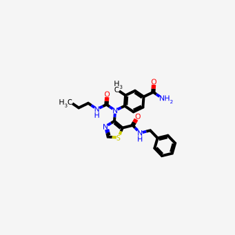 CCCNC(=O)N(c1ccc(C(N)=O)cc1C)c1ncsc1C(=O)NCc1ccccc1